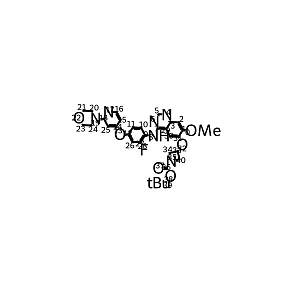 COc1cc2ncnc(Nc3ccc(Oc4ccnc(N5CCOCC5)c4)cc3F)c2cc1OC1CN(C(=O)OC(C)(C)C)C1